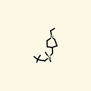 CCN1CCC(C[Si](C)(C)CC(C)(C)C)CC1